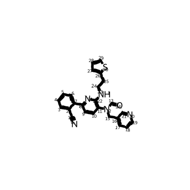 N#Cc1ccccc1-c1ccc(N(C=O)Cc2cccnc2)c(NCCc2cccs2)n1